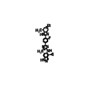 CCN1Cc2nc(-c3ccc(-c4nc(Nc5ccc6[nH]ncc6c5C5CC5)n(C)n4)cc3F)[nH]c2C(C)C1